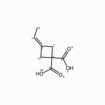 CC=C1CC(C(=O)O)(C(=O)O)C1